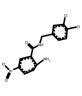 Nc1ccc([N+](=O)[O-])cc1C(=O)NCc1ccc(Cl)c(Cl)c1